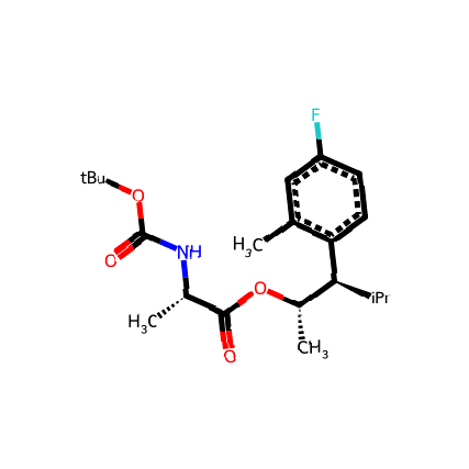 Cc1cc(F)ccc1[C@@H](C(C)C)[C@H](C)OC(=O)[C@H](C)NC(=O)OC(C)(C)C